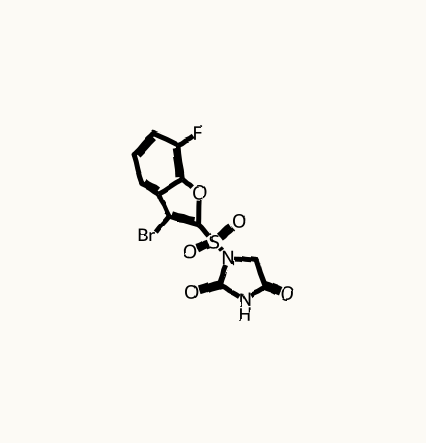 O=C1CN(S(=O)(=O)c2oc3c(F)cccc3c2Br)C(=O)N1